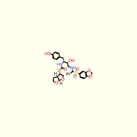 CC(C)C(NC[C@@H](O)[C@H](Cc1ccc(O)cc1)NC(=O)O[C@H]1CO[C@H]2OCC[C@H]21)S(=O)(=O)c1ccc2c(c1)OCO2